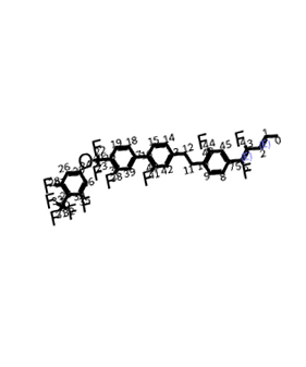 C/C=C/C(F)=C(\F)c1ccc(CCc2ccc(-c3ccc(C(F)(F)Oc4cc(F)c(C(F)(F)F)c(F)c4)c(F)c3)c(F)c2)c(F)c1